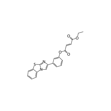 CCOC(=O)C=CC(=O)Oc1cccc(-c2cn3c(n2)sc2ccccc23)c1